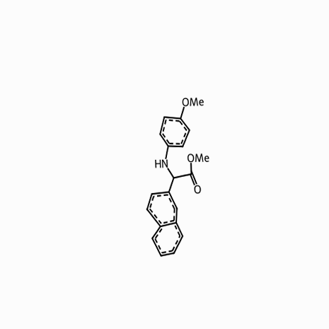 COC(=O)C(Nc1ccc(OC)cc1)c1ccc2ccccc2c1